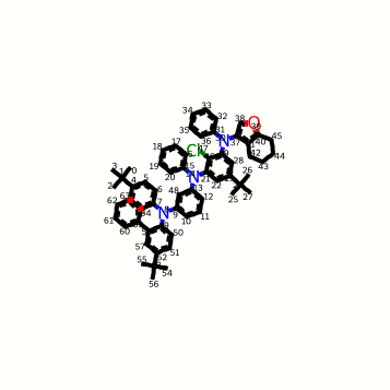 CC(C)(C)c1ccc(N(c2cccc(N(c3ccccc3)c3cc(C(C)(C)C)cc(N(c4ccccc4)c4coc5c4CCCC5)c3Cl)c2)c2ccc(C(C)(C)C)cc2-c2ccccc2)cc1